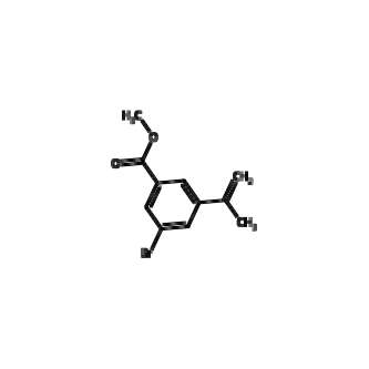 C=C(C)c1cc(Br)cc(C(=O)OC)c1